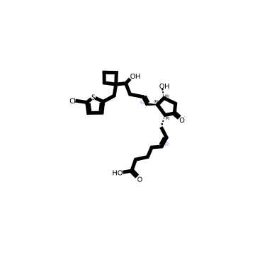 O=C(O)CCC/C=C\C[C@H]1C(=O)C[C@@H](O)[C@@H]1/C=C/CC(O)C1(Cc2ccc(Cl)s2)CCC1